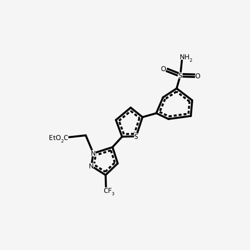 CCOC(=O)Cn1nc(C(F)(F)F)cc1-c1ccc(-c2cccc(S(N)(=O)=O)c2)s1